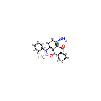 CON(C1=C2C(=O)c3ccccc3C(=O)C2=C(N)CC1)c1ccccc1